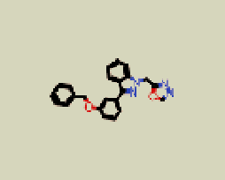 c1ccc(COc2cccc(-c3nn(Cc4nnco4)c4ccccc34)c2)cc#1